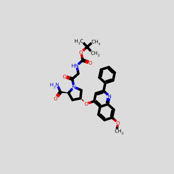 COc1ccc2c(O[C@@H]3C[C@@H](C(N)=O)N(C(=O)CNC(=O)OC(C)(C)C)C3)cc(-c3ccccc3)nc2c1